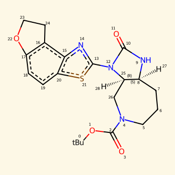 CC(C)(C)OC(=O)N1CCC[C@@H]2NC(=O)N(c3nc4c5c(ccc4s3)OCC5)[C@@H]2C1